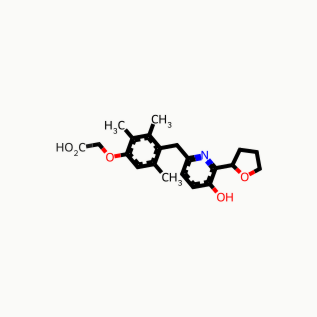 Cc1cc(OCC(=O)O)c(C)c(C)c1Cc1ccc(O)c(C2CCCO2)n1